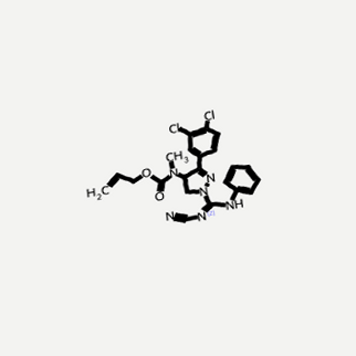 C=CCOC(=O)N(C)C1CN(/C(=N\C#N)Nc2ccccc2)N=C1c1ccc(Cl)c(Cl)c1